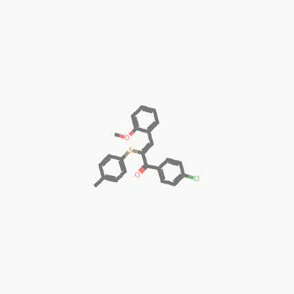 COc1ccccc1C=C(Sc1ccc(C)cc1)C(=O)c1ccc(Cl)cc1